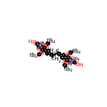 Cc1cc2c(cc1CCc1cc3c(cc1C)-c1ccc4c5c(Oc6ccc(C(C)(C)C)cc6)cc6c7c(cc(Oc8ccc(C(C)(C)C)cc8)c(c8ccc-3c1c48)c75)C(=O)N(c1c(C(C)C)cc(O)cc1C(C)C)C6=O)-c1ccc3c4c(Oc5ccc(C(C)(C)C)cc5)cc5c6c(cc(Oc7ccc(C(C)(C)C)cc7)c(c7ccc-2c1c73)c64)C(=O)N(c1c(C(C)C)cc(O)cc1C(C)C)C5=O